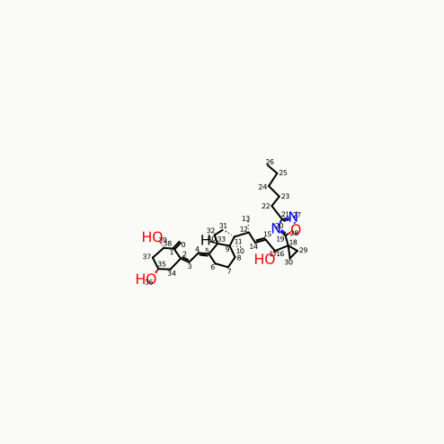 C=C1/C(=C\C=C2/CCC[C@]3(C)[C@@H]([C@H](C)/C=C/[C@H](O)C4(c5nc(CCCCC)no5)CC4)CC[C@@H]23)C[C@@H](O)C[C@@H]1O